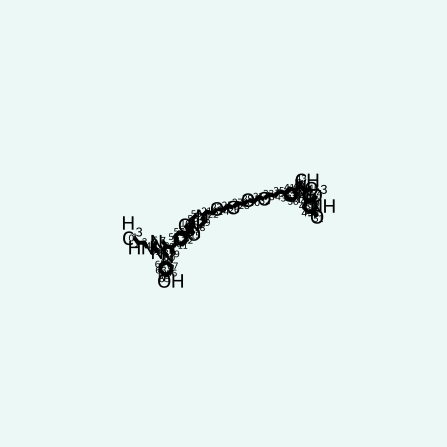 CCCCNc1ncc2c(-c3ccc(S(=O)(=O)N4CCN(CCOCCOCCOCCOCCCc5ccc6c(c5)n(C)c(=O)n6C5CCC(=O)NC5=O)CC4)cc3)cn([C@H]3CC[C@H](O)CC3)c2n1